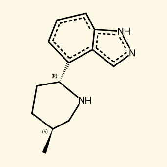 C[C@H]1CC[C@H](c2cccc3[nH]ncc23)NC1